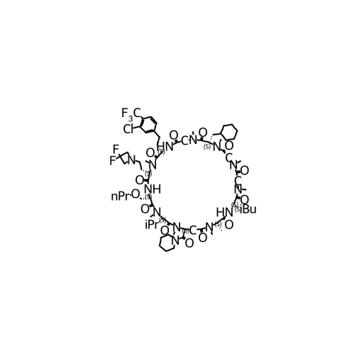 CCCOC[C@@H]1NC(=O)[C@H](CCN2CC(F)(F)C2)N(C)C(=O)[C@H](CCc2ccc(C(F)(F)F)c(Cl)c2)NC(=O)CN(C)C(=O)[C@H](CC2CCCCC2)N(C)C(=O)CN(C)C(=O)CN(C)C(=O)[C@H]([C@@H](C)CC)NC(=O)[C@H](C)N(C)C(=O)C[C@@H](C(=O)N2CCCCC2)N(C)C(=O)[C@H](C(C)C)N(C)C1=O